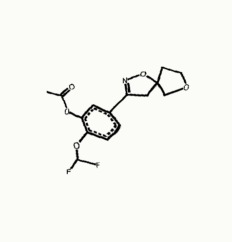 CC(=O)Oc1cc(C2=NOC3(CCOC3)C2)ccc1OC(F)F